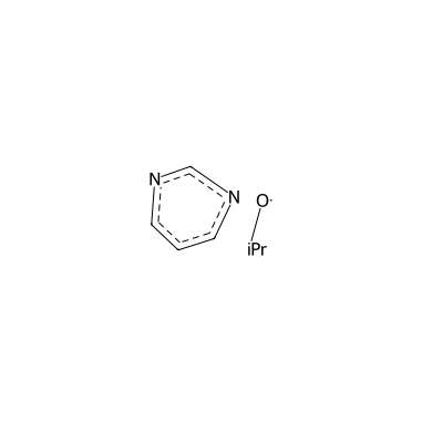 CC(C)[O].c1cncnc1